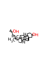 C[C@H](CCC1(O)CC1)[C@H]1CC[C@H]2[C@H]3CC=C4C[C@@H](O)CC[C@@H]4[C@H]3CC[C@]12C